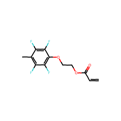 C=CC(=O)OCCOc1c(F)c(F)c(C)c(F)c1F